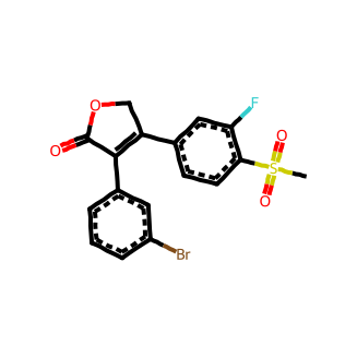 CS(=O)(=O)c1ccc(C2=C(c3cccc(Br)c3)C(=O)OC2)cc1F